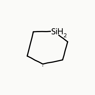 [CH]1CC[SiH2]CC1